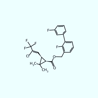 CC1(C)[C@H](C(=O)OCc2cccc(-c3cccc(F)c3)c2F)[C@@H]1/C=C(\Cl)C(F)(F)F